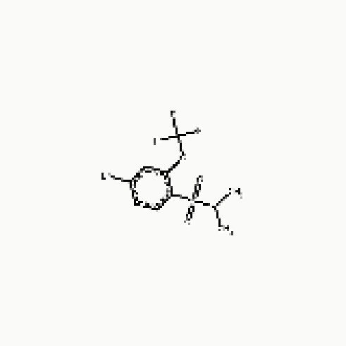 CC(C)S(=O)(=O)c1ccc(Br)cc1OC(F)(F)F